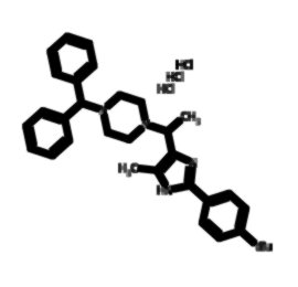 Cc1[nH]c(-c2ccc(C(C)(C)C)cc2)nc1C(C)N1CCN(C(c2ccccc2)c2ccccc2)CC1.Cl.Cl.Cl